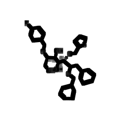 OC[C@@H](OCc1ccc(F)cc1)[C@@H](O)[C@H](O)[C@H](OCc1cccs1)C(Cc1ccccc1)OCc1ccccc1